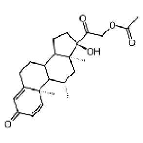 CC(=O)OCC(=O)[C@@]1(O)CCC2C3CCC4=CC(=O)C=C[C@]4(C)C3[C@@H](C)C[C@@]21C